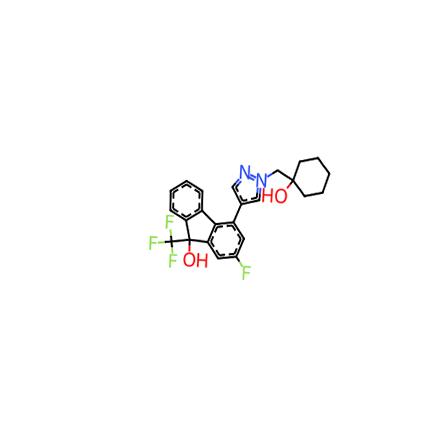 OC1(Cn2cc(-c3cc(F)cc4c3-c3ccccc3C4(O)C(F)(F)F)cn2)CCCCC1